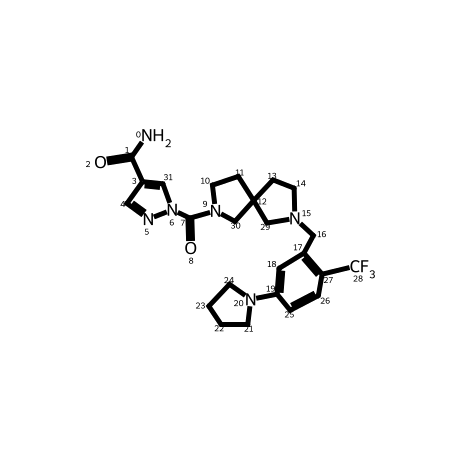 NC(=O)c1cnn(C(=O)N2CCC3(CCN(Cc4cc(N5CCCC5)ccc4C(F)(F)F)C3)C2)c1